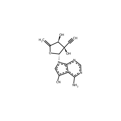 C#C[C@@]1(O)[C@H](O)C(=C)O[C@H]1n1cc(C#N)c2c(N)ncnc21